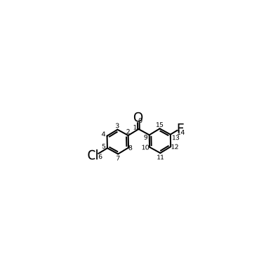 O=C(c1ccc(Cl)cc1)c1cccc(F)c1